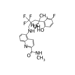 CNC(=O)c1ccc2c(NCC(O)(CC(C)(C)c3cc(F)ccc3O)C(F)(F)F)cccc2n1